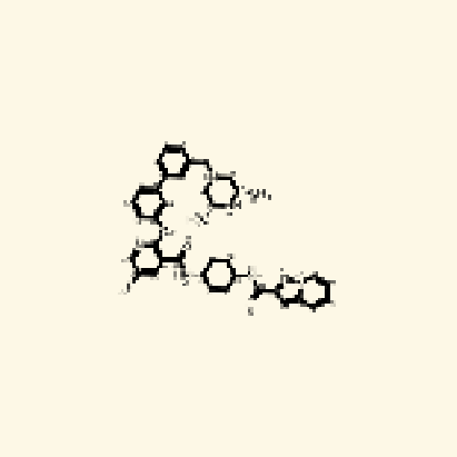 C[C@@H]1CN(Cc2cccc(-c3cccc(Oc4ncc(F)cc4C(=O)N[C@H]4CC[C@H](NC(=O)c5cc6ccccn6n5)CC4)c3)c2)C[C@H](C)N1